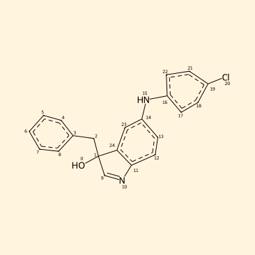 OC1(Cc2ccccc2)C=Nc2ccc(Nc3ccc(Cl)cc3)cc21